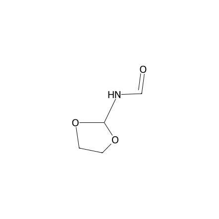 O=CNC1OCCO1